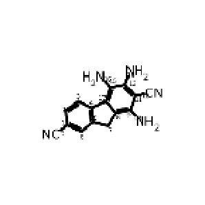 N#Cc1ccc2c(c1)Cc1c(N)c(C#N)c(N)c(N)c1-2